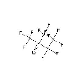 O=P(C(F)(F)F)(C(F)(F)F)C(F)(F)C(F)(F)F